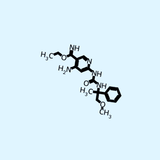 CCOC(=N)c1cnc(NC(=O)NC(C)(COC)c2ccccc2)cc1N